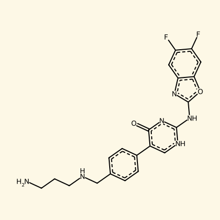 NCCCNCc1ccc(-c2c[nH]c(Nc3nc4cc(F)c(F)cc4o3)nc2=O)cc1